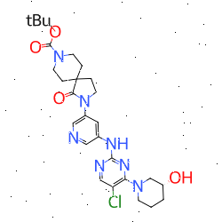 CC(C)(C)OC(=O)N1CCC2(CC1)CCN(c1cncc(Nc3ncc(Cl)c(N4CCC[C@@H](O)C4)n3)c1)C2=O